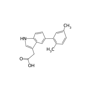 Cc1ccc(C)c(-c2ccc3[nH]cc(CC(=O)O)c3c2)c1